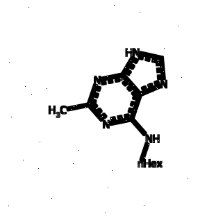 CCCCCCNc1nc(C)nc2[nH]cnc12